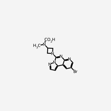 CN(C(=O)O)C1CN(c2nc3ncc(Br)cc3c3ccnn23)C1